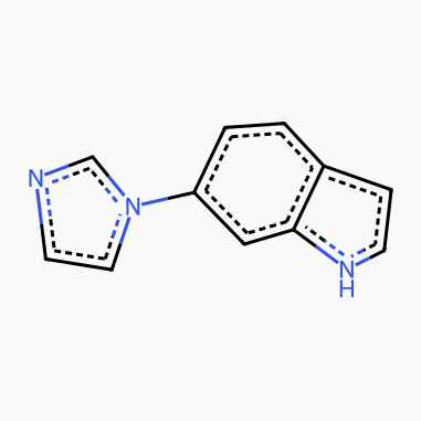 c1cn(-c2ccc3cc[nH]c3c2)cn1